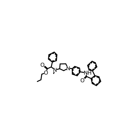 CCCOC(=O)C(c1ccccc1)N(C)C1CCN(c2ccc(NC(=O)c3ccccc3-c3ccccc3)cc2)C1